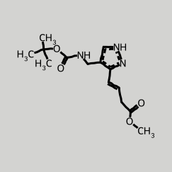 COC(=O)CC=Cc1n[nH]cc1CNC(=O)OC(C)(C)C